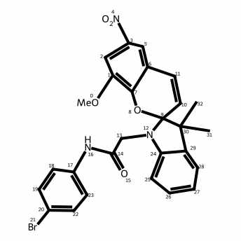 COc1cc([N+](=O)[O-])cc2c1OC1(C=C2)N(CC(=O)Nc2ccc(Br)cc2)c2ccccc2C1(C)C